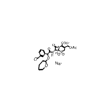 CC(=O)OCC1=C(C(=O)[O-])N2C(=O)[C@H](NC(=O)C(OC3CCCCO3)c3cccc(Cl)c3)[C@@H]2S(=O)(=O)C1.[Na+]